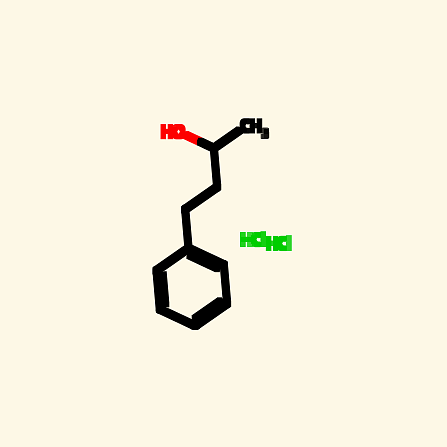 CC(O)CCc1ccccc1.Cl.Cl